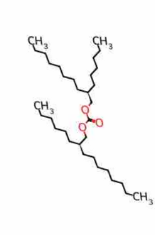 CCCCCCCC[C@@H](CCCCCC)COC(=O)OC[C@H](CCCCCC)CCCCCCCC